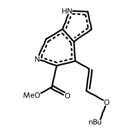 CCCCOC=Cc1c(C(=O)OC)ncc2[nH]ccc12